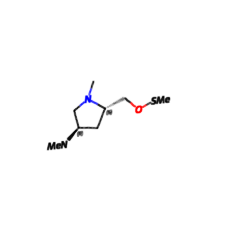 CN[C@@H]1C[C@@H](COSC)N(C)C1